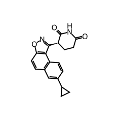 O=C1CC[C@@H](c2noc3ccc4cc(C5CC5)ccc4c23)C(=O)N1